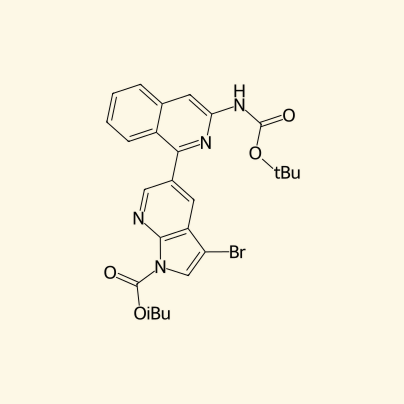 CC(C)COC(=O)n1cc(Br)c2cc(-c3nc(NC(=O)OC(C)(C)C)cc4ccccc34)cnc21